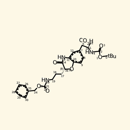 CC(C)(C)OC(=O)N[C@@H](Cc1ccc2c(c1)NC(=O)[C@@H](CCCNC(=O)OCc1ccccc1)O2)C(=O)O